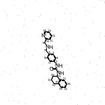 O=C(Nc1ccc(CNCc2ccccn2)cc1)NC1CCCc2ccccc21